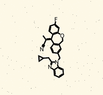 CC(C#N)=C1c2ccc(Cn3c(CC4CC4)nc4ccccc43)cc2COc2cc(F)ccc21